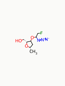 C[C@H]1CC(OC(CF)N=[N+]=[N-])[C@@H](CO)O1